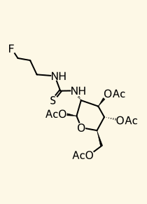 CC(=O)OC[C@H]1O[C@@H](OC(C)=O)[C@H](NC(=S)NCCCF)[C@@H](OC(C)=O)[C@@H]1OC(C)=O